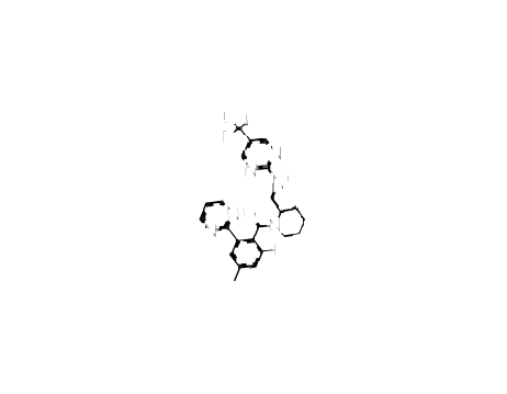 Cc1cc(F)c(C(=O)N2CCC[C@@H](C)C2CNc2ncc(C(F)(F)F)cn2)c(-c2ncccn2)c1